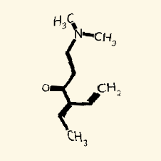 C=C/C(=C\C)C(=O)CCN(C)C